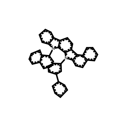 c1ccc(-c2cccc(-n3c4ccc5ccccc5c4c4ccc5c6ccccc6n(-c6cccc7ccccc67)c5c43)c2)cc1